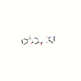 Cc1cc(C)c(CNC(=O)c2ccn(C(C)c3ccccc3)c(=O)c2)c(O)n1